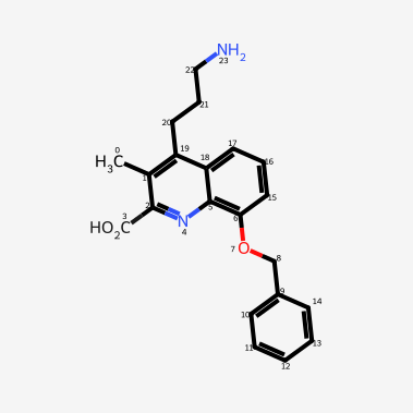 Cc1c(C(=O)O)nc2c(OCc3ccccc3)cccc2c1CCCN